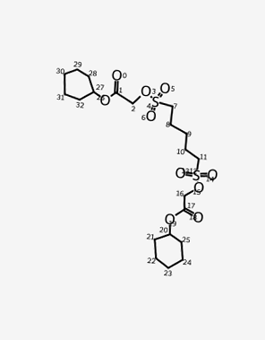 O=C(COS(=O)(=O)CCCCCS(=O)(=O)OCC(=O)OC1CCCCC1)OC1CCCCC1